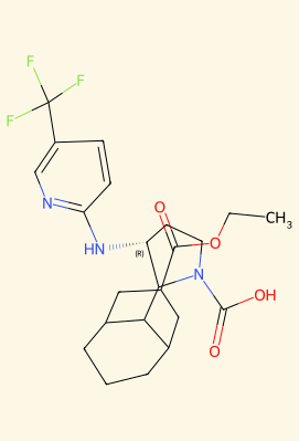 CCOC(=O)C1CC2CCCC(C1)C2C1[C@H](Nc2ccc(C(F)(F)F)cn2)CCN1C(=O)O